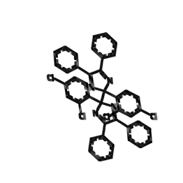 Clc1ccc(C2(C3(c4ccc(Cl)cc4Cl)N=C(c4ccccc4)C(c4ccccc4)=N3)N=C(c3ccccc3)C(c3ccccc3)=N2)c(Cl)c1